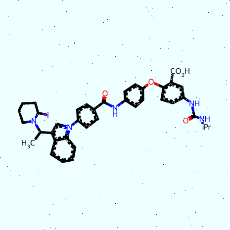 CC(C)NC(=O)Nc1ccc(Oc2ccc(NC(=O)c3ccc(-n4cc(C(C)N5CCCCC5I)c5ccccc54)cc3)cc2)c(C(=O)O)c1